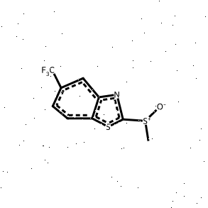 C[S+]([O-])c1nc2cc(C(F)(F)F)ccc2s1